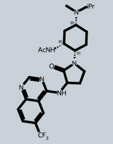 CC(=O)N[C@@H]1C[C@H](N(C)C(C)C)CC[C@@H]1N1CCC(Nc2ncnc3ccc(C(F)(F)F)cc23)C1=O